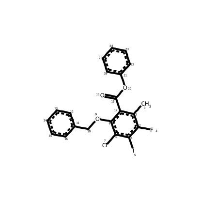 Cc1c(F)c(I)c(Cl)c(OCc2ccccc2)c1C(=O)Oc1ccccc1